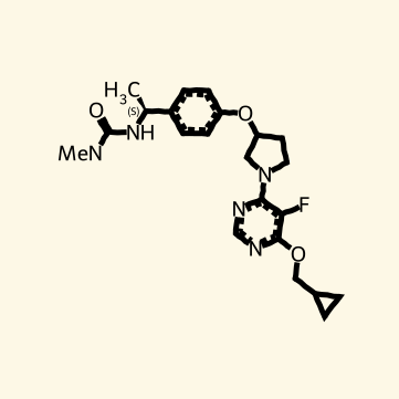 CNC(=O)N[C@@H](C)c1ccc(OC2CCN(c3ncnc(OCC4CC4)c3F)C2)cc1